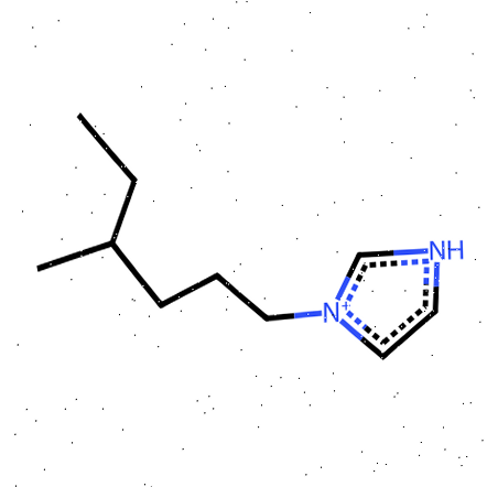 CCC(C)CCC[n+]1cc[nH]c1